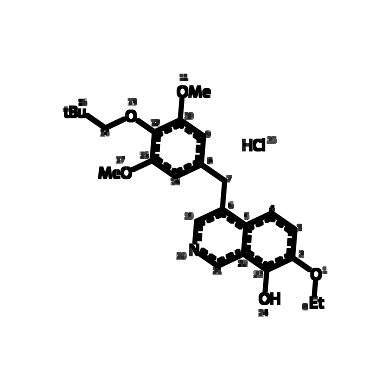 CCOc1ccc2c(Cc3cc(OC)c(OCC(C)(C)C)c(OC)c3)cncc2c1O.Cl